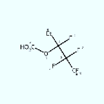 CCC(F)(OC(=O)O)C(F)(F)C(F)(F)F